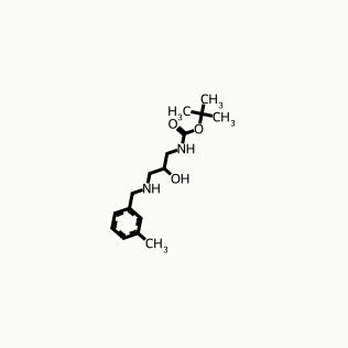 Cc1cccc(CNCC(O)CNC(=O)OC(C)(C)C)c1